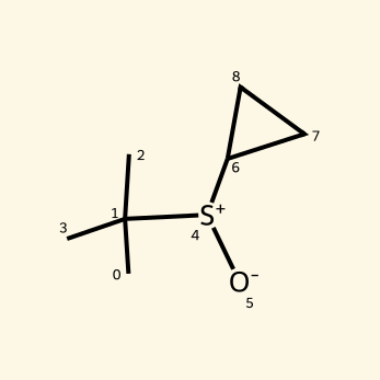 CC(C)(C)[S+]([O-])C1CC1